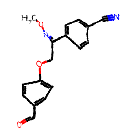 CON=C(COc1ccc(C=O)cc1)c1ccc(C#N)cc1